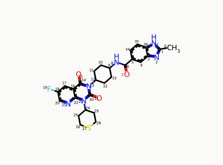 Cc1nc2cc(C(=O)NC3CCC(n4c(=O)c5cc(F)cnc5n(C5CCSCC5)c4=O)CC3)ccc2[nH]1